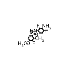 COc1ccc(S(=O)(=O)Nc2ccc(F)c(N)c2F)c(C)c1F